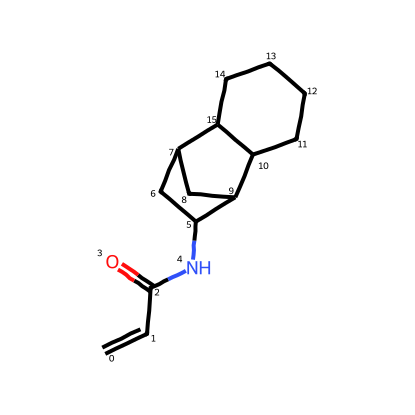 C=CC(=O)NC1CC2CC1C1CCCCC21